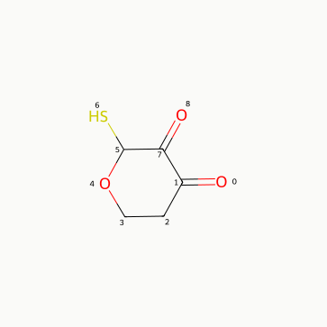 O=C1CCOC(S)C1=O